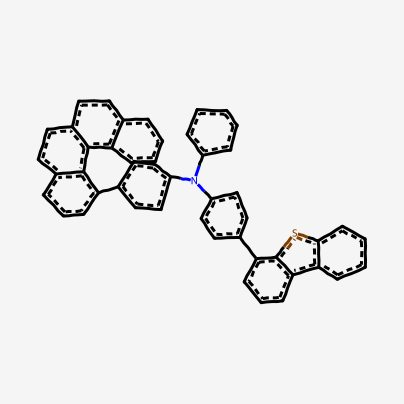 c1ccc(N(c2ccc(-c3cccc4c3sc3ccccc34)cc2)c2ccc(-c3cccc4ccc5ccc6ccccc6c5c34)cc2)cc1